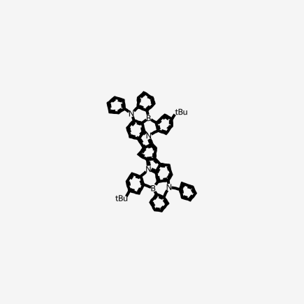 CC(C)(C)c1ccc2c(c1)B1c3ccccc3N(c3ccccc3)c3ccc4c5cc6c(cc5n-2c4c31)c1ccc2c3c1n6-c1ccc(C(C)(C)C)cc1B3c1ccccc1N2c1ccccc1